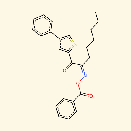 CCCCCCC(=NOC(=O)c1ccccc1)C(=O)c1cc(-c2ccccc2)cs1